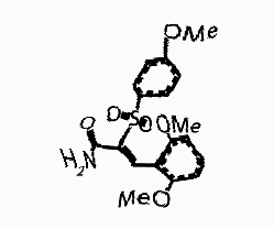 COc1ccc(S(=O)(=O)C(=Cc2c(OC)cccc2OC)C(N)=O)cc1